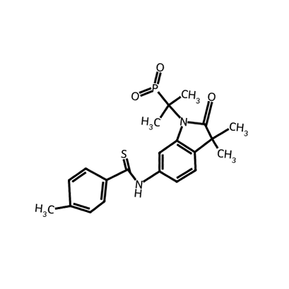 Cc1ccc(C(=S)Nc2ccc3c(c2)N(C(C)(C)P(=O)=O)C(=O)C3(C)C)cc1